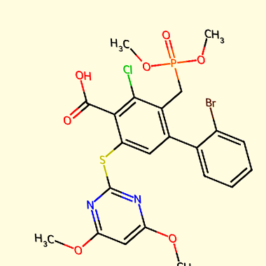 COc1cc(OC)nc(Sc2cc(-c3ccccc3Br)c(CP(=O)(OC)OC)c(Cl)c2C(=O)O)n1